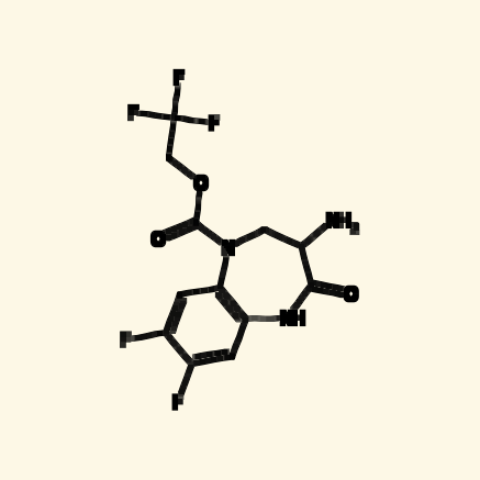 NC1CN(C(=O)OCC(F)(F)F)c2cc(F)c(F)cc2NC1=O